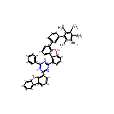 Bc1c(B)c(B)c(-c2cccc(-c3cccc4c3oc3cccc(-c5nc(-c6ccccc6)nc(-c6cccc7c6sc6ccccc67)n5)c34)c2)c(B)c1B